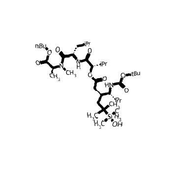 CCCCOC(=O)[C@H](C)N(C)C(=O)[C@H](CC(C)C)NC(=O)[C@@H](OC(=O)C[C@H](CC(C)(C)[Si](C)(C)O)[C@H](NC(=O)OC(C)(C)C)C(C)C)C(C)C